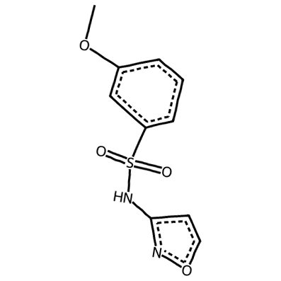 COc1cccc(S(=O)(=O)Nc2ccon2)c1